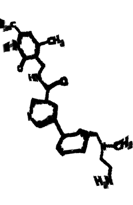 Cc1cc(C)c(CNC(=O)c2cncc(-c3cccc(CN(C)CCN)c3)c2)c(=O)[nH]1